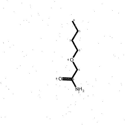 CCCCOCC(N)=O